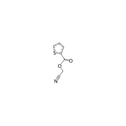 N#CCOC(=O)c1cccs1